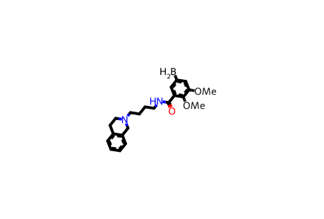 Bc1cc(OC)c(OC)c(C(=O)NCCCCN2CCc3ccccc3C2)c1